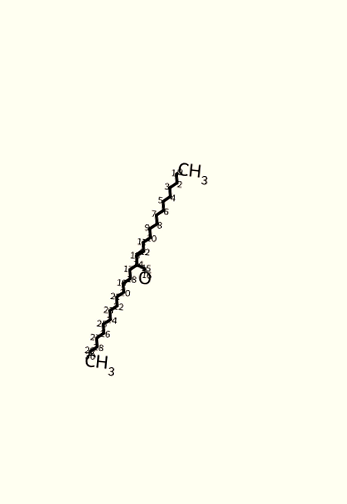 CCCCCCCCCCCC/C=C/C([C]=O)CCCCCCCCCCCCCC